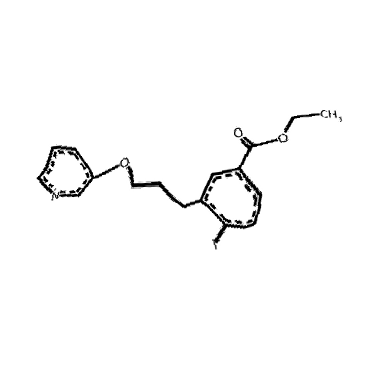 CCOC(=O)c1ccc(I)c(CCCOc2cccnc2)c1